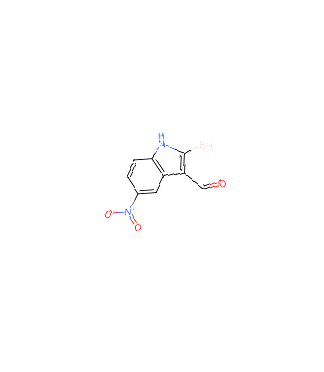 Bc1[nH]c2ccc([N+](=O)[O-])cc2c1C=O